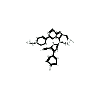 CCc1nc2cnc(C3=CCN(SC)CC3)cn2c1N(C)c1nc(-c2ccc(F)cc2)c(C#N)s1